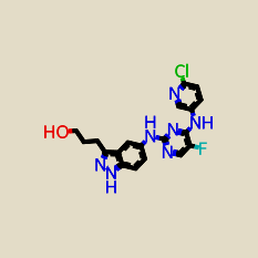 OCCCc1n[nH]c2ccc(Nc3ncc(F)c(Nc4ccc(Cl)nc4)n3)cc12